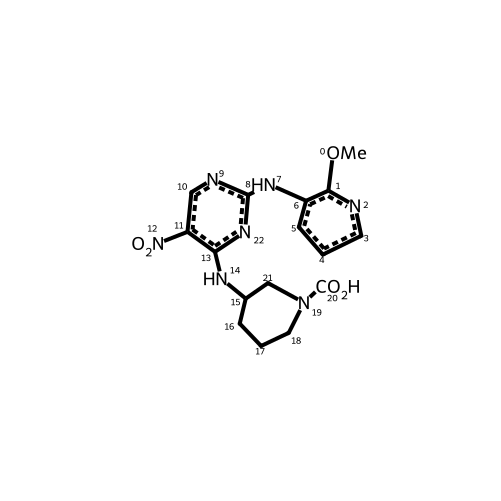 COc1ncccc1Nc1ncc([N+](=O)[O-])c(NC2CCCN(C(=O)O)C2)n1